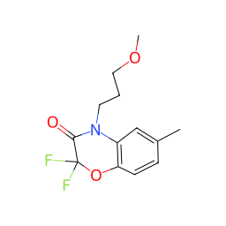 COCCCN1C(=O)C(F)(F)Oc2ccc(C)cc21